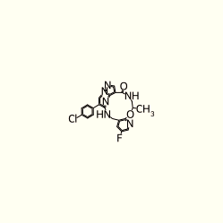 CC1CNC(=O)c2cnn3cc(-c4ccc(Cl)cc4)c(nc23)NCc2cc(F)cnc2O1